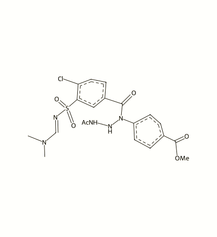 COC(=O)c1ccc(N(NNC(C)=O)C(=O)c2ccc(Cl)c(S(=O)(=O)N=CN(C)C)c2)cc1